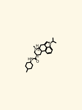 CC1CCC(NC(=O)[C@@H]2CC3c4cccc5c4c(cn5C(C)C)C[C@H]3N(C)C2)CC1